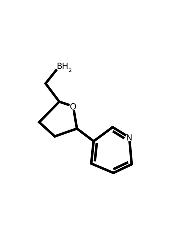 BCC1CCC(c2cccnc2)O1